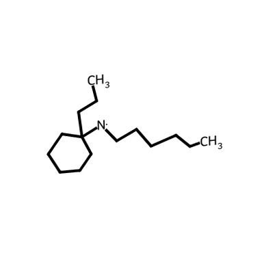 CCCCCC[N]C1(CCC)CCCCC1